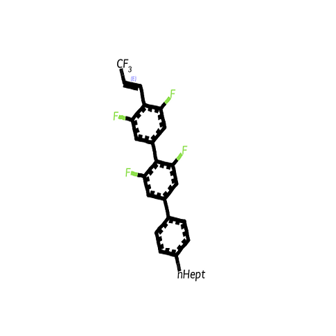 CCCCCCCc1ccc(-c2cc(F)c(-c3cc(F)c(/C=C/C(F)(F)F)c(F)c3)c(F)c2)cc1